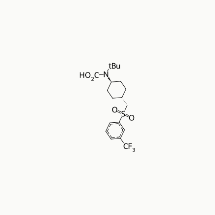 CC(C)(C)N(C(=O)O)[C@H]1CC[C@H](CS(=O)(=O)c2cccc(C(F)(F)F)c2)CC1